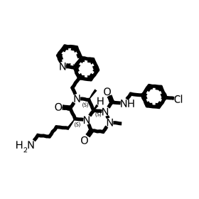 C[C@H]1[C@H]2N(C(=O)CN(C)N2C(=O)NCc2ccc(Cl)cc2)[C@@H](CCCCN)C(=O)N1Cc1cccc2cccnc12